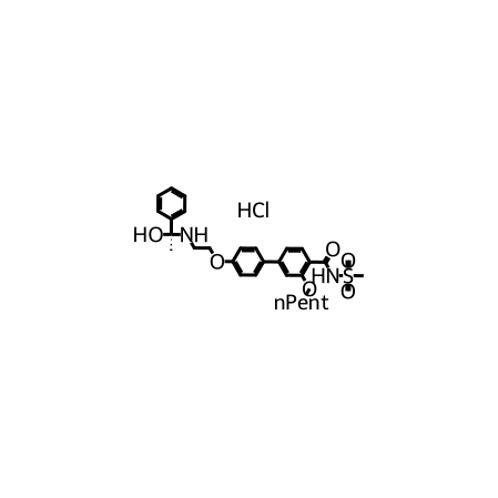 CCCCCOc1cc(-c2ccc(OCCN[C@@](C)(O)c3ccccc3)cc2)ccc1C(=O)NS(C)(=O)=O.Cl